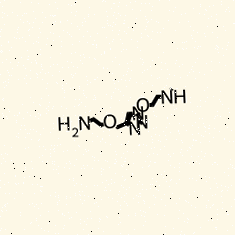 CNCCOn1cc(COCCN)nn1